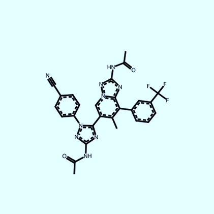 CC(=O)Nc1nc(-c2cn3nc(NC(C)=O)nc3c(-c3cccc(C(F)(F)F)c3)c2C)n(-c2ccc(C#N)cc2)n1